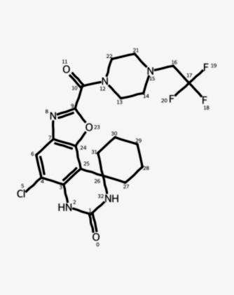 O=C1Nc2c(Cl)cc3nc(C(=O)N4CCN(CC(F)(F)F)CC4)oc3c2C2(CCCCC2)N1